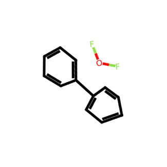 FOF.c1ccc(-c2ccccc2)cc1